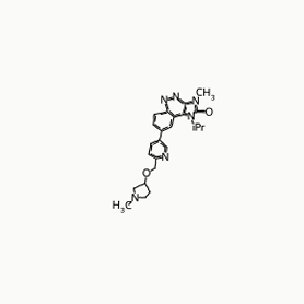 CC(C)n1c(=O)n(C)c2nnc3ccc(-c4ccc(COC5CCN(C)C5)nc4)cc3c21